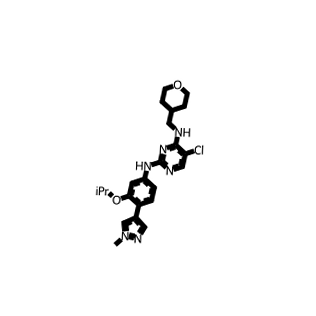 CC(C)Oc1cc(Nc2ncc(Cl)c(NCC3CCOCC3)n2)ccc1-c1cnn(C)c1